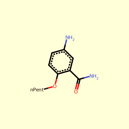 CCCCCOc1ccc(N)cc1C(N)=O